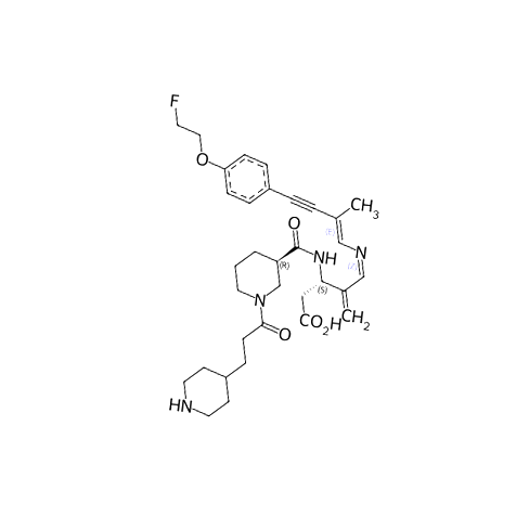 C=C(/C=N\C=C(/C)C#Cc1ccc(OCCF)cc1)[C@H](CC(=O)O)NC(=O)[C@@H]1CCCN(C(=O)CCC2CCNCC2)C1